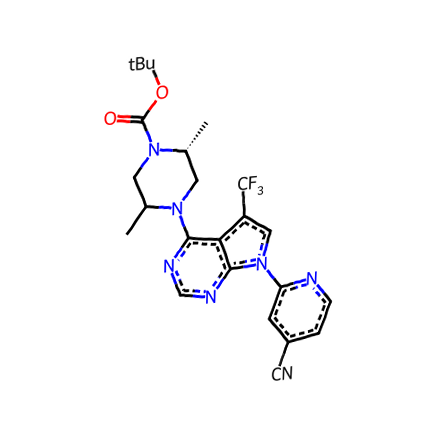 CC1CN(C(=O)OC(C)(C)C)[C@H](C)CN1c1ncnc2c1c(C(F)(F)F)cn2-c1cc(C#N)ccn1